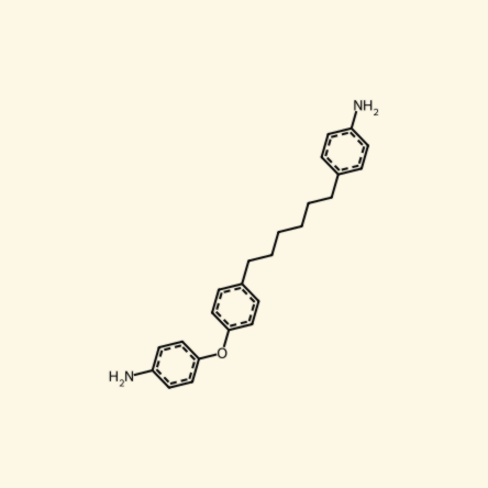 Nc1ccc(CCCCCCc2ccc(Oc3ccc(N)cc3)cc2)cc1